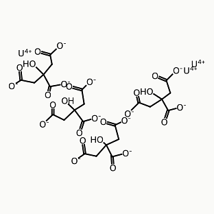 O=C([O-])CC(O)(CC(=O)[O-])C(=O)[O-].O=C([O-])CC(O)(CC(=O)[O-])C(=O)[O-].O=C([O-])CC(O)(CC(=O)[O-])C(=O)[O-].O=C([O-])CC(O)(CC(=O)[O-])C(=O)[O-].[U+4].[U+4].[U+4]